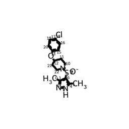 Cc1n[nH]c(C)c1[S+]([O-])N1CCC(Oc2ccc(Cl)cc2)CC1